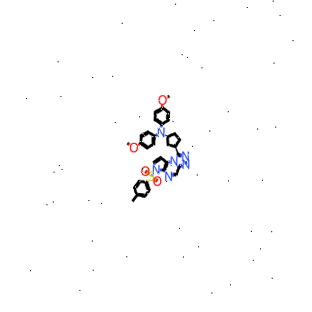 COc1ccc(N(c2ccc(OC)cc2)[C@@H]2CC[C@@H](c3nnc4cnc5c(ccn5S(=O)(=O)c5ccc(C)cc5)n34)C2)cc1